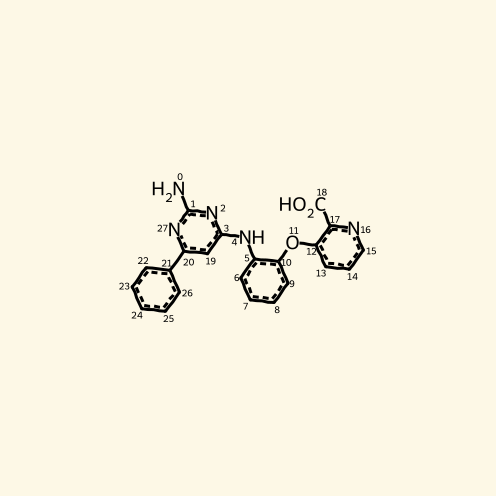 Nc1nc(Nc2ccccc2Oc2cccnc2C(=O)O)cc(-c2ccccc2)n1